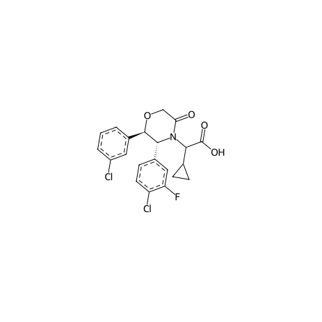 O=C(O)C(C1CC1)N1C(=O)CO[C@H](c2cccc(Cl)c2)[C@H]1c1ccc(Cl)c(F)c1